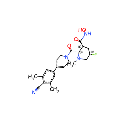 Cc1cc(C2=CCN(C(=O)[C@@H]3[C@@H](C(=O)NO)C[C@@H](F)CN3C)CC2)cc(C)c1C#N